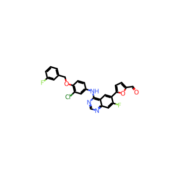 O=Cc1ccc(-c2cc3c(Nc4ccc(OCc5cccc(F)c5)c(Cl)c4)ncnc3cc2F)o1